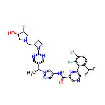 CC(c1cnc(N2CC[C@H]2CN2C[C@@H](O)[C@H](F)C2)nc1)n1cc(NC(=O)c2cncc(-c3c(C(F)F)ccc(Cl)c3F)n2)cn1